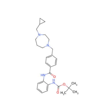 CC(C)(C)OC(=O)Nc1ccccc1NC(=O)c1ccc(CN2CCCN(CC3CC3)CC2)cc1